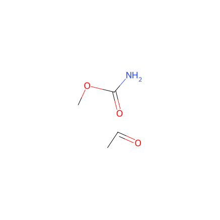 CC=O.COC(N)=O